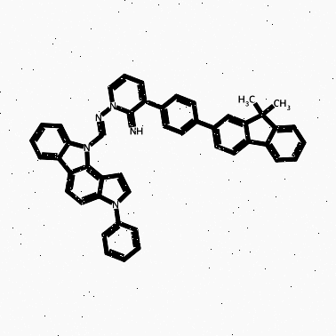 CC1(C)c2ccccc2-c2ccc(-c3ccc(-c4cccn(/N=C/n5c6ccccc6c6ccc7c(ccn7-c7ccccc7)c65)c4=N)cc3)cc21